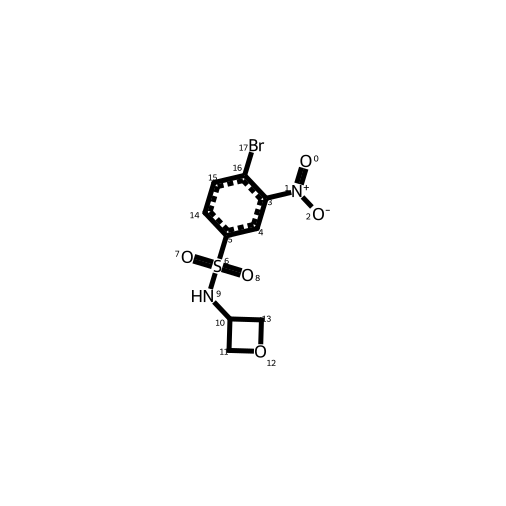 O=[N+]([O-])c1cc(S(=O)(=O)NC2COC2)ccc1Br